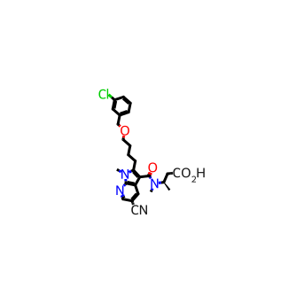 C[C@H](CC(=O)O)N(C)C(=O)c1c(CCCCOCc2cccc(Cl)c2)n(C)c2ncc(C#N)cc12